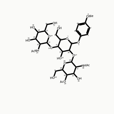 COc1ccc(OC2OC(CO)C(OC3OC(CO)C(O)C(O)C3NC(C)=O)C(O)C2OC2OC(CO)C(OC(C)=O)C(O)C2NC(C)=O)cc1